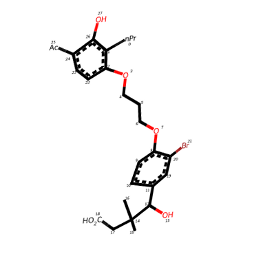 CCCc1c(OCCCOc2ccc(C(O)C(C)(C)CC(=O)O)cc2Br)ccc(C(C)=O)c1O